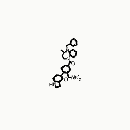 CC1CCN(C(=O)c2ccc(-c3ccc4[nH]ccc4c3)c(C(N)=O)c2)c2ccccc2N1Cc1ccccc1